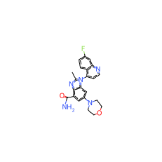 Cc1nc2c(C(N)=O)cc(N3CCOCC3)cc2n1-c1ccnc2cc(F)ccc12